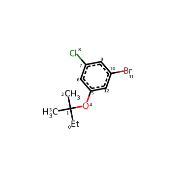 CCC(C)(C)Oc1cc(Cl)cc(Br)c1